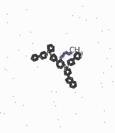 C\C=C/C=C\C=C\C1=C(c2ccc(N(c3ccccc3)c3ccc(-c4ccccc4)cc3)cc2)CC=CC(N(c2ccc(-c3ccccc3)cc2)c2ccc(-c3ccc4ccccc4c3)cc2)=C1